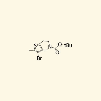 Cc1sc2c(c1Br)CN(C(=O)OC(C)(C)C)CC2